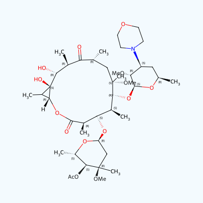 CO[C@H]1[C@H](O[C@@H]2[C@@H](C)[C@H](O[C@H]3C[C@@](C)(OC)[C@@H](OC(C)=O)[C@H](C)O3)[C@@H](C)C(=O)O[C@@H]3C(C)[C@]3(O)[C@H](O)[C@@H](C)C(=O)[C@H](C)C[C@]2(C)OC)O[C@H](C)C[C@@H]1N1CCOCC1